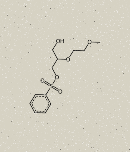 COCCOC(CO)COS(=O)(=O)c1ccccc1